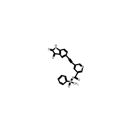 CS(=O)(=NC(=O)c1cncc(C#Cc2ccc3c(c2)C(=O)C(=O)N3)c1)c1ccccc1